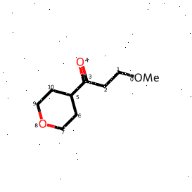 COCCC(=O)C1CCOCC1